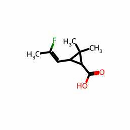 CC(F)=CC1C(C(=O)O)C1(C)C